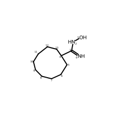 N=C(NO)C1CCCCCCCCC1